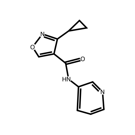 O=C(Nc1cccnc1)c1conc1C1CC1